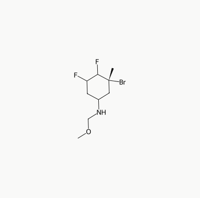 COCNC1CC(F)C(F)[C@](C)(Br)C1